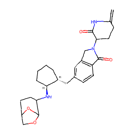 C=C1CCC(N2Cc3cc(C[C@H]4CCCC[C@@H]4NC4CCC5COC4O5)ccc3C2=O)C(=O)N1